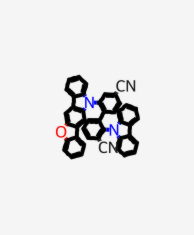 N#Cc1ccc(-c2cccc(C#N)c2-n2c3ccccc3c3ccccc32)c(-n2c3ccccc3c3cc4oc5ccccc5c4cc32)c1